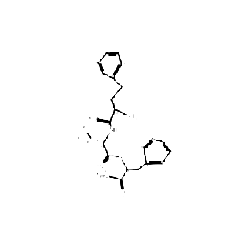 COC(=O)[C@H](Cc1ccccc1)NC(=O)[C@H](CC(C)C)NC(=O)C(N)CCc1ccccc1.Cl